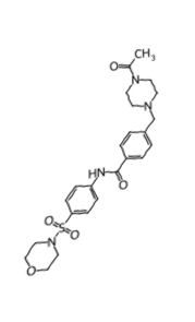 CC(=O)N1CCN(Cc2ccc(C(=O)Nc3ccc(S(=O)(=O)N4CCOCC4)cc3)cc2)CC1